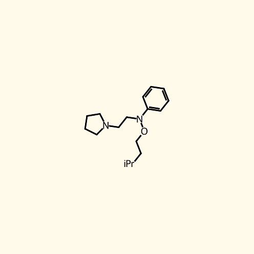 CC(C)CCON(CCN1CCCC1)c1ccccc1